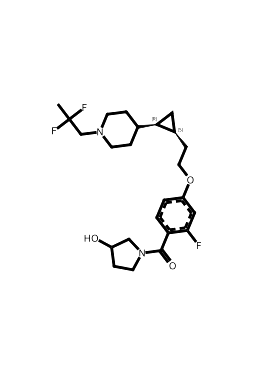 CC(F)(F)CN1CCC([C@H]2C[C@H]2CCOc2ccc(C(=O)N3CCC(O)C3)c(F)c2)CC1